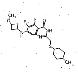 COC1CC(Nc2cc3nc(CSC4CCC(C)CC4)[nH]c(=O)c3c(F)c2F)C1